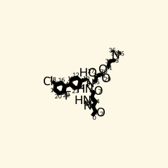 CC(=O)c1cc(C(=O)NN(Cc2ccc(-c3cc(Cl)ccc3F)cc2)CC(O)C(=O)OCCCN(C)C)[nH]n1